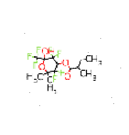 CCC(C)C(=O)OC1C(F)(F)C(C)(C)OC(O)(C(F)(F)F)C1(F)F